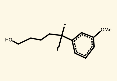 COc1cccc(C(F)(F)CCCCO)c1